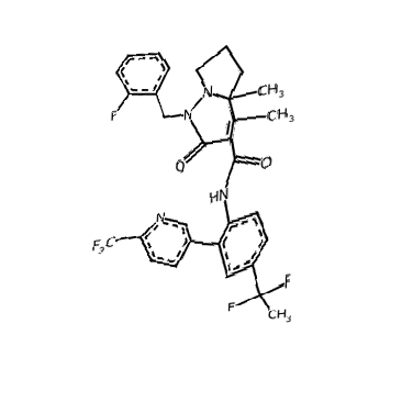 CC1=C(C(=O)Nc2ccc(C(C)(F)F)cc2-c2ccc(C(F)(F)F)nc2)C(=O)N(Cc2ccccc2F)N2CCCC12C